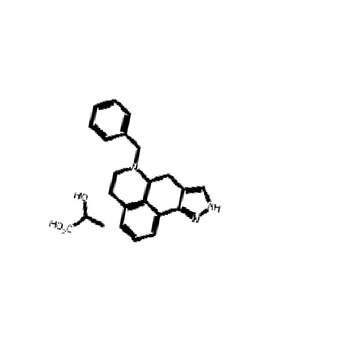 CC(O)C(=O)O.c1ccc(CN2CCc3cccc4c3C2Cc2c[nH]nc2-4)cc1